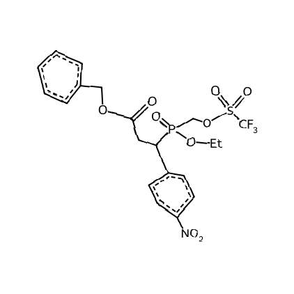 CCOP(=O)(COS(=O)(=O)C(F)(F)F)C(CC(=O)OCc1ccccc1)c1ccc([N+](=O)[O-])cc1